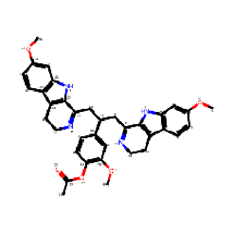 COc1ccc2c3c([nH]c2c1)C(CC(CC1=NCCc2c1[nH]c1cc(OC)ccc21)c1ccc(OC(C)=O)c(OC)c1)=NCC3